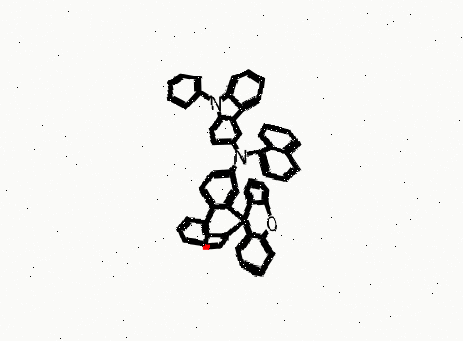 c1ccc(-n2c3ccccc3c3cc(N(c4ccc5c(c4)C4(c6ccccc6Oc6ccccc64)c4cccc6cccc-5c46)c4cccc5ccccc45)ccc32)cc1